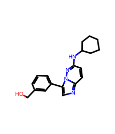 OCc1cccc(-c2cnc3ccc(NC4CCCCC4)nn23)c1